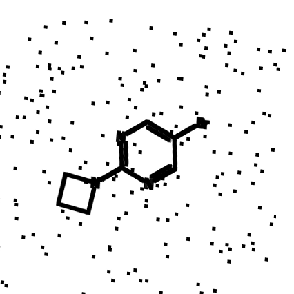 Brc1cnc(N2CCC2)nc1